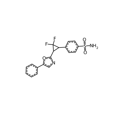 NS(=O)(=O)c1ccc(C2C(c3ncc(-c4ccccc4)o3)C2(F)F)cc1